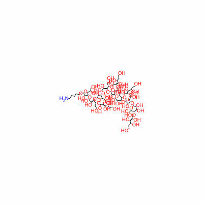 NCCCCCOC1OC([C@H](O)CO)C(OC(O)/C(O)=C(\OC2OC([C@H](O)CO)C(OC(O)/C(O)=C(\OC3OC([C@H](O)CO)C(OC(O)/C(O)=C(/OC4OC([C@H](O)CO)C(OC5OC(CO)C(OC(O)/C(O)=C(\O)C(O)CCO)C(O)C5O)C4O)C(CCO)OC(O)/C(O)=C(\O)C(O)CCO)C3O)C(CCO)OC(O)/C(O)=C(/O)C(O)CCO)C2O)C(CCO)OC(O)/C(O)=C(\O)C(O)CCO)C1O